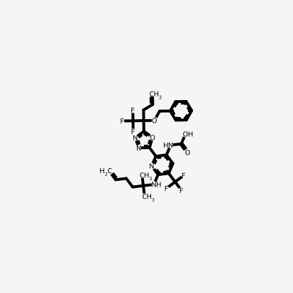 C=CCCC(C)(C)Nc1nc(-c2nnc(C(CC=C)(OCc3ccccc3)C(F)(F)F)o2)c(NC(=O)O)cc1C(F)(F)F